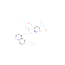 COc1ccc2ncc(F)c(CCN(Cc3ccc4c(n3)OC(=O)CN4)C34CCC(CC3)OC4)c2c1.Cl